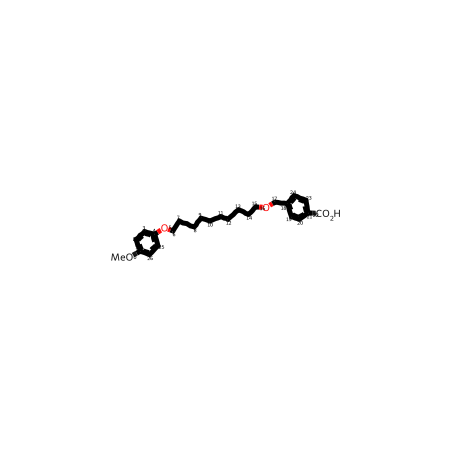 COc1ccc(OCCCCCCCCCCOCc2ccc(C(=O)O)cc2)cc1